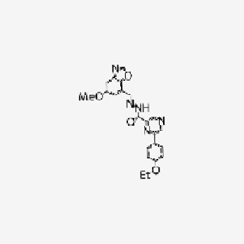 CCOc1ccc(-c2cncc(C(=O)N/N=C/c3cc(OC)cc4ncoc34)n2)cc1